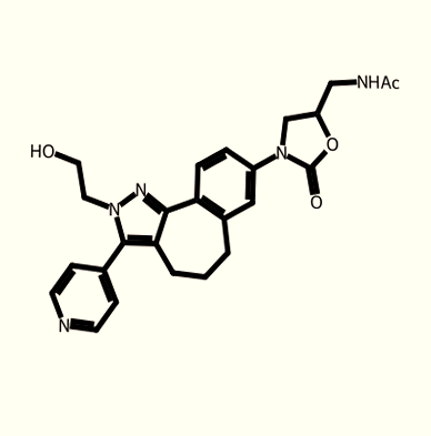 CC(=O)NCC1CN(c2ccc3c(c2)CCCc2c-3nn(CCO)c2-c2ccncc2)C(=O)O1